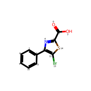 O=C(O)c1nc(-c2ccccc2)c(Br)s1